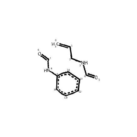 C=CCN[C]=O.O=[C]Nc1ccccc1